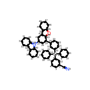 N#Cc1cccc([Si](c2ccccc2)(c2ccccc2)c2cccc(-c3cc(-n4c5ccccc5c5ccccc54)cc4c3oc3ccccc34)c2)c1